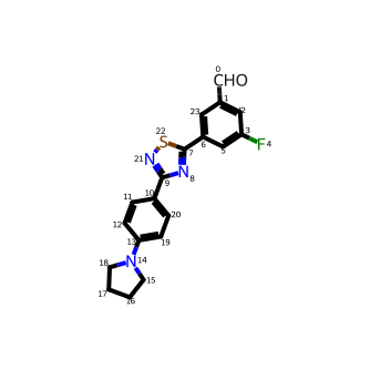 O=Cc1[c]c(F)cc(-c2nc(-c3ccc(N4CCCC4)cc3)ns2)c1